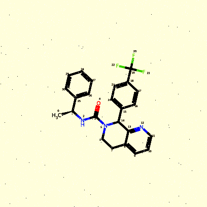 C[C@H](NC(=O)N1CCc2cccnc2C1c1ccc(C(F)(F)F)cc1)c1ccccc1